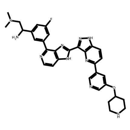 CN(C)CC(N)c1cc(F)cc(-c2nccc3[nH]c(-c4n[nH]c5ccc(-c6cncc(OC7CCNCC7)c6)nc45)nc23)c1